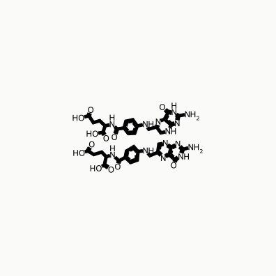 Nc1nc2c(c(=O)[nH]1)N=C(CNc1ccc(C(=O)NC(CCC(=O)O)C(=O)O)cc1)CN2.Nc1nc2ncc(CNc3ccc(C(=O)NC(CCC(=O)O)C(=O)O)cc3)nc2c(=O)[nH]1